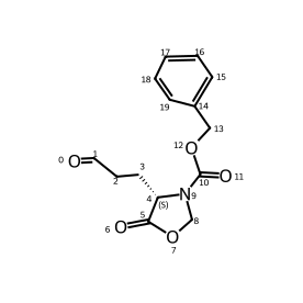 O=CCC[C@H]1C(=O)OCN1C(=O)OCc1ccccc1